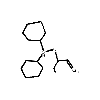 C=CC(CCl)O[SiH](C1CCCCC1)C1CCCCC1